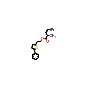 CC(C)/C=C\C(C)C(=O)OCCc1ccc(-c2ccccc2)s1